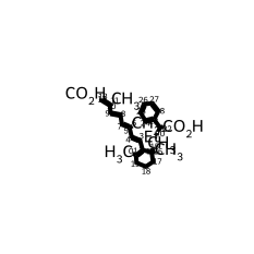 CC1=C(/C=C/C(C)=C/C=C/C(C)=C/C(=O)O)C(C)(C)CCC1.CCC(C(=O)O)c1ccccc1